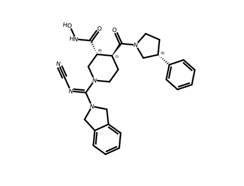 N#CN=C(N1Cc2ccccc2C1)N1CC[C@H](C(=O)N2CC[C@H](c3ccccc3)C2)[C@@H](C(=O)NO)C1